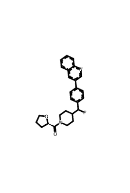 O=C([C@H]1CCCO1)N1CCC(C(F)c2ccc(-c3cnc4ccccc4c3)cc2)CC1